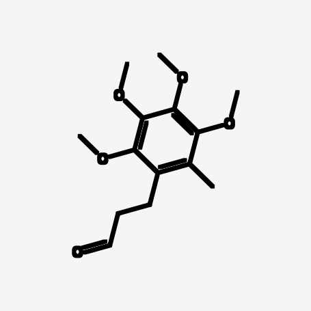 COc1c(C)c(CCC=O)c(OC)c(OC)c1OC